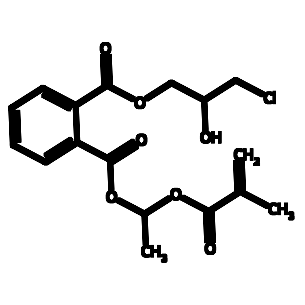 C=C(C)C(=O)OC(C)OC(=O)c1ccccc1C(=O)OCC(O)CCl